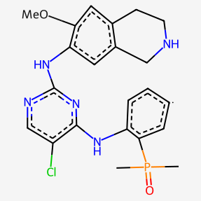 COc1cc2c(cc1Nc1ncc(Cl)c(Nc3cc[c]cc3P(C)(C)=O)n1)CNCC2